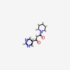 O=C(CC(=O)N1CCCCC1)c1cncnc1